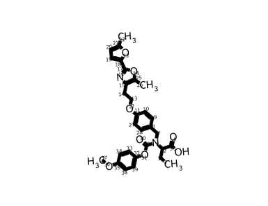 CCC(C(=O)O)N(Cc1ccc(OCCc2nc(-c3ccc(C)o3)oc2C)cc1)C(=O)Oc1ccc(OC)cc1